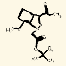 CSc1cccc2c(C(C)=O)nn(CC(=O)OC(C)(C)C)c12